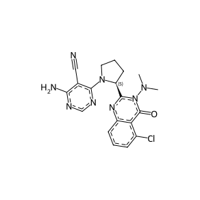 CN(C)n1c([C@@H]2CCCN2c2ncnc(N)c2C#N)nc2cccc(Cl)c2c1=O